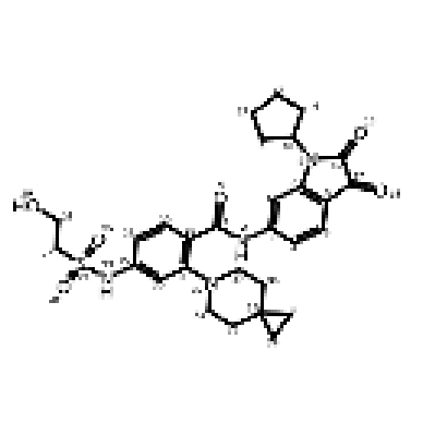 O=C(Nc1ccc2c(c1)N(C1CCCC1)C(=O)C2=O)c1ccc(NS(=O)(=O)CCO)cc1N1CCC2(CC1)CC2